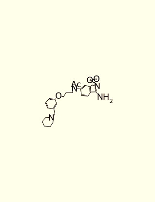 CC(=O)N(CCCOc1cccc(CN2CCCCC2)c1)c1ccc2c(c1)S(=O)(=O)N=C2N